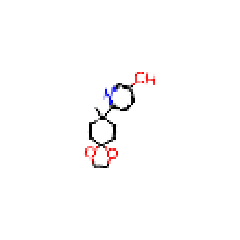 CC1(c2ccc(O)cn2)CCC2(CC1)OCCO2